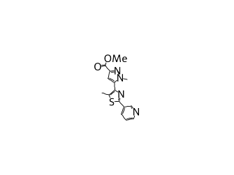 COC(=O)c1cc(-c2nc(-c3cccnc3)sc2C)n(C)n1